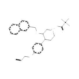 C=CCOc1ccc(C2CCN(OC(=O)C(C)(C)C)CC2OCc2ccc3ccccc3c2)cc1